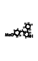 COc1ccc(CN2CCNCC2c2ccccc2)cc1